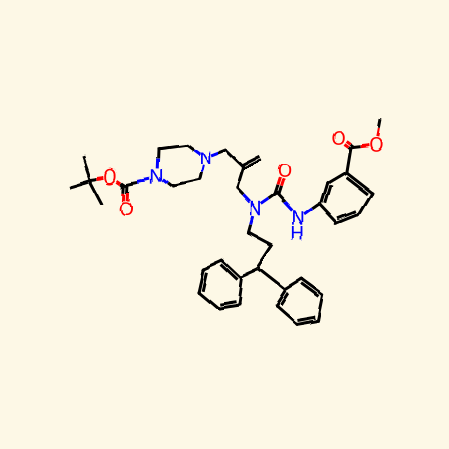 C=C(CN1CCN(C(=O)OC(C)(C)C)CC1)CN(CCC(c1ccccc1)c1ccccc1)C(=O)Nc1cccc(C(=O)OC)c1